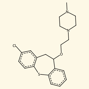 CN1CCN(CCOC2Cc3cc(Cl)ccc3Sc3ccccc32)CC1